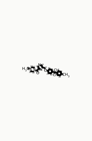 Cc1ccc(C(C)(C)c2ccc(OCc3cncc(C(=O)N4CCN(C)CC4)n3)cc2)cc1